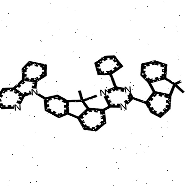 CC1(C)c2ccccc2-c2c(-c3nc(-c4ccccc4)nc(-c4cccc5c4C(C)(C)c4cc(-n6c7ccccc7c7cccnc76)ccc4-5)n3)cccc21